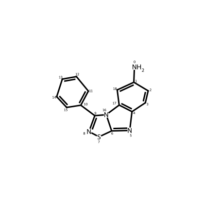 Nc1ccc2nc3snc(-c4ccccc4)n3c2c1